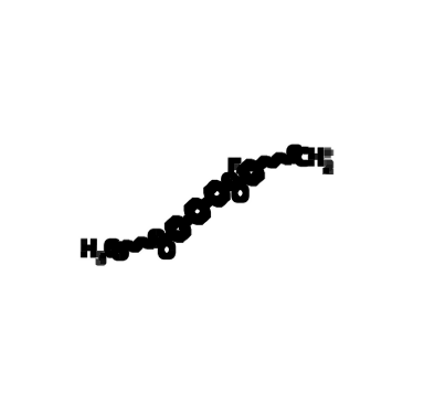 [CH2+][CH-]CCCCc1ccc(C(=O)OC2CCC(C3CCC(c4ccc(C(=O)OCCCCOC)cc4)CC3)CC2)c(F)c1